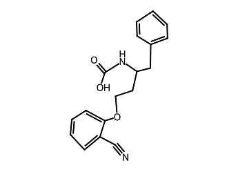 N#Cc1ccccc1OCCC(Cc1ccccc1)NC(=O)O